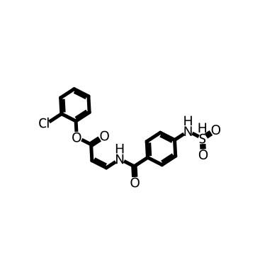 O=C(/C=C\NC(=O)c1ccc(N[SH](=O)=O)cc1)Oc1ccccc1Cl